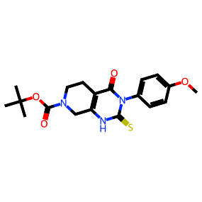 COc1ccc(-n2c(=S)[nH]c3c(c2=O)CCN(C(=O)OC(C)(C)C)C3)cc1